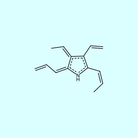 C=C/C=c1/[nH]c(/C=C\C)c(C=C)/c1=C/C